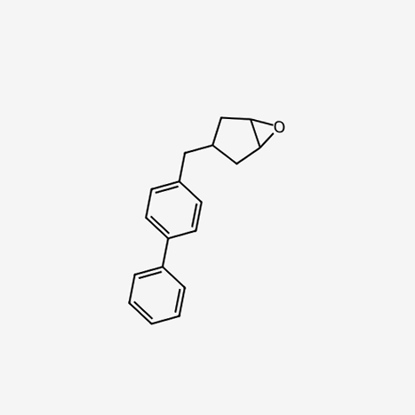 c1ccc(-c2ccc(CC3CC4OC4C3)cc2)cc1